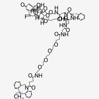 CCCC1OC2[C@@H](C[C@H]3[C@@H]4C[C@H](F)C5=CC(=O)C=C[C@]5(C)[C@@]4(F)[C@@H](O)C[C@]23C(=O)COCNC(=O)CNC(=O)[C@H](Cc2ccccc2)NC(=O)CNC(=O)CNC(=O)CCOCCOCCOCCOCCNC(=O)CCC(=O)N2Cc3ccccc3/C(CC)=C\c3ccccc32)O1